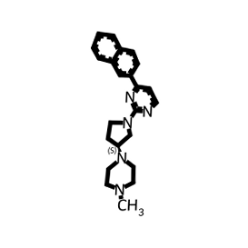 CN1CCN([C@H]2CCN(c3nccc(-c4ccc5ccccc5c4)n3)C2)CC1